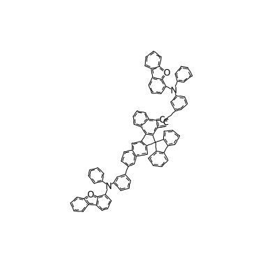 c1ccc(N(c2cccc(-c3ccc4cc5c(cc4c3)C3(c4ccccc4-c4ccccc43)c3c-5c4ccccc4c4cc(-c5cccc(N(c6ccccc6)c6cccc7c6oc6ccccc67)c5)ccc34)c2)c2cccc3c2oc2ccccc23)cc1